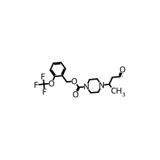 CC(C[C]=O)N1CCN(C(=O)OCc2ccccc2OC(F)(F)F)CC1